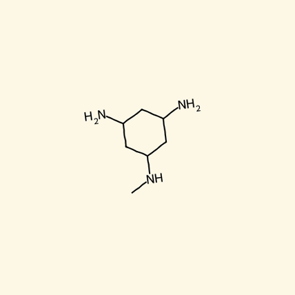 CNC1CC(N)CC(N)C1